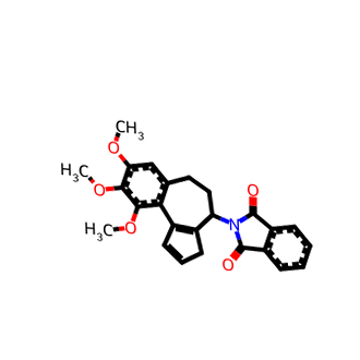 COc1cc2c(c(OC)c1OC)C1=C(CC=C1)C(N1C(=O)c3ccccc3C1=O)CC2